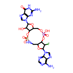 Nc1nc2c(ncn2C2OC3COP(=O)(O)OC4C(CNS(=O)(=O)OC3C2O)OC(n2cnc3c(N)ncnc32)C4F)c(=O)[nH]1